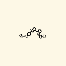 CCN1CCCC(Oc2ccccc2Cc2cccc3sc(-c4ccc(OCCN5CCCC5)cc4)cc23)C1